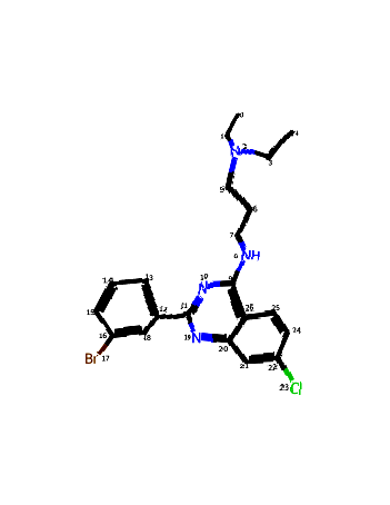 CCN(CC)CCCNc1nc(-c2cccc(Br)c2)nc2cc(Cl)ccc12